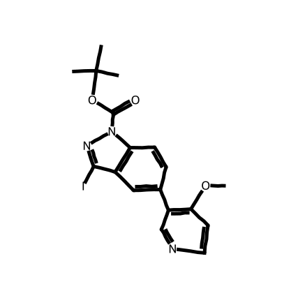 COc1ccncc1-c1ccc2c(c1)c(I)nn2C(=O)OC(C)(C)C